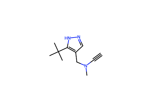 C#CN(C)Cc1cn[nH]c1C(C)(C)C